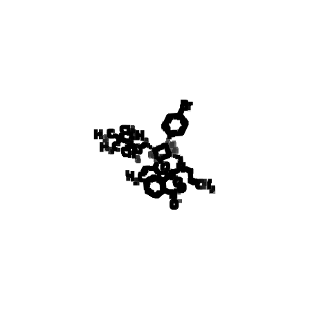 C=CCN(C[C@H]1[C@@H](c2ccc(Br)cc2)[C@@H](CO[Si](C)(C)C(C)(C)C)N1C(C)C=C)S(=O)(=O)c1ccccc1[N+](=O)[O-]